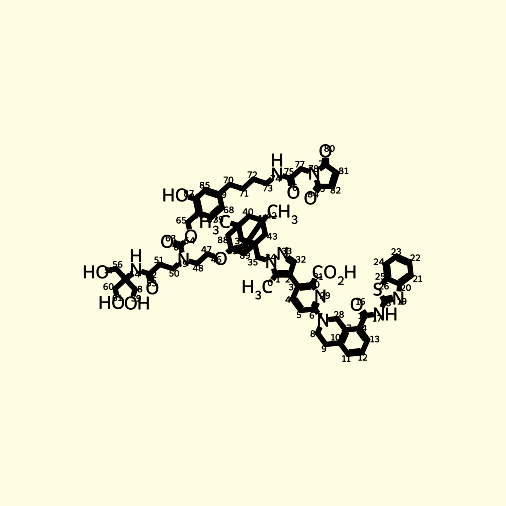 Cc1c(-c2ccc(N3CCc4cccc(C(=O)Nc5nc6ccccc6s5)c4C3)nc2C(=O)O)cnn1CC12CC3(C)CC(C)(C1)CC(OCCN(CCC(=O)NC(CO)(CO)CO)C(=O)OCc1ccc(CCCCNC(=O)CN4C(=O)C=CC4=O)cc1O)(C3)C2